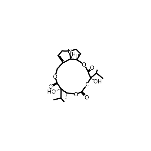 CC(C)[C@@]1(O)CC(=O)O[C@H](C)[C@@](O)(C(C)C)C(=O)OCC2=CCN3CC[C@@H](OC1=O)[C@@H]23